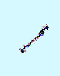 O=C(CCN1C(=O)C=CC1=O)NCCOCCOCCOCCOCCC(=O)Nc1ccc(CCC(=O)N2CCC2=O)cc1